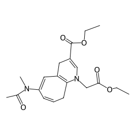 CCOC(=O)CN1C=C(C(=O)OCC)CC2=C1CC=CC(N(C)C(C)=O)=C2